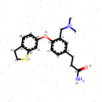 CN(C)Cc1cc(CCC(N)=O)ccc1Oc1ccc2c(c1)SCC2